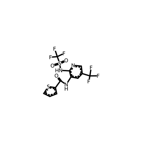 O=C(Nc1cc(C(F)(F)F)cnc1NS(=O)(=O)C(F)(F)F)c1cccs1